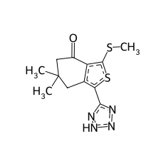 CSc1sc(-c2nn[nH]n2)c2c1C(=O)CC(C)(C)C2